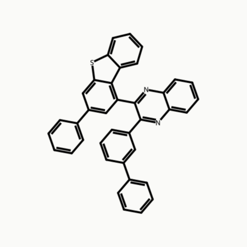 c1ccc(-c2cccc(-c3nc4ccccc4nc3-c3cc(-c4ccccc4)cc4sc5ccccc5c34)c2)cc1